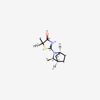 CCCC1(C)SC(N2[C@H]3CC[C@H](C3)[C@H]2C)=NC1=O